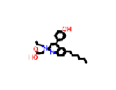 CCCCCCc1ccc2nc(N(CCC)CC(=O)O)cc(-c3ccc(O)cc3)c2c1